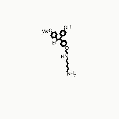 CCC(=C(c1ccc(O)cc1)c1ccc(OCCNCCCCCCN)cc1)c1ccc(OC)cc1